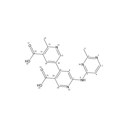 Cc1nccc(Nc2cc(-c3cnc(C)c(C(=O)O)c3)c(C(=O)O)cn2)n1